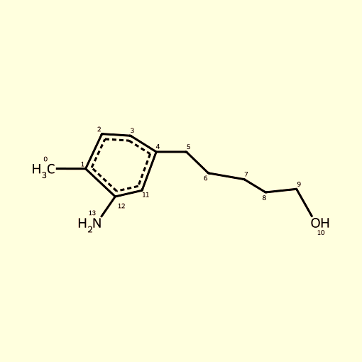 Cc1ccc(CCCCCO)cc1N